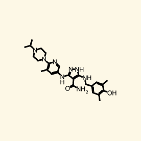 Cc1cc(Nc2n[nH]c(NCc3cc(C)c(O)c(C)c3)c2C(N)=O)cnc1N1CCN(C(C)C)CC1